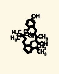 CC(C)c1cccc(CCC(C)(C)C)c1C[C@H](CO)C(C)C(=O)Cc1cc(O)ccc1Cl